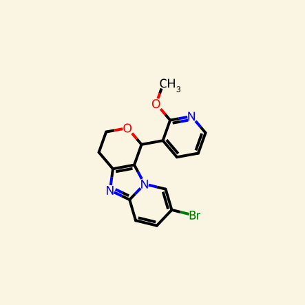 COc1ncccc1C1OCCc2nc3ccc(Br)cn3c21